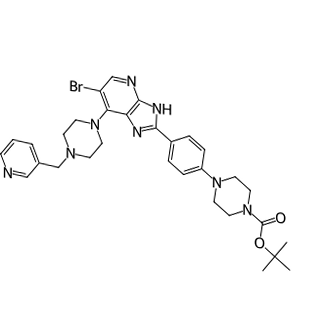 CC(C)(C)OC(=O)N1CCN(c2ccc(-c3nc4c(N5CCN(Cc6cccnc6)CC5)c(Br)cnc4[nH]3)cc2)CC1